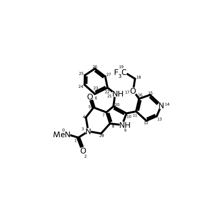 CNC(=O)N1CC(=O)c2c([nH]c(-c3ccncc3OCC(F)(F)F)c2Nc2ccccc2)C1